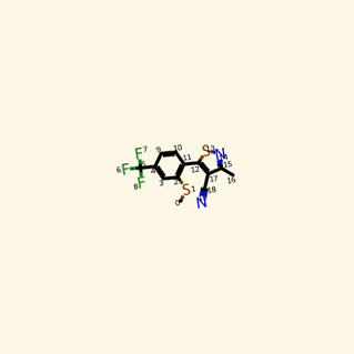 CSc1cc(C(F)(F)F)ccc1-c1snc(C)c1C#N